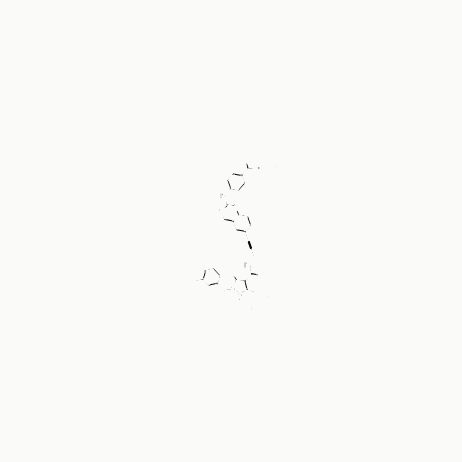 COC(=O)c1ccc(Nc2ncc3cc(C#CCNC(=O)c4c(C)n(C)n(Cc5ccc(F)c(F)c5)c4=O)ccc3n2)cc1